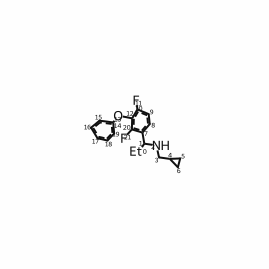 CCC(NCC1CC1)c1ccc(F)c(Oc2ccccc2)c1F